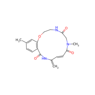 C=C1/C=C/C(=O)N(C)CC(=O)NCCOc2cc(C)ccc2C(=O)N1